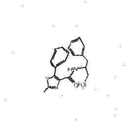 Cc1nc(C(=O)NC(CN)Cc2ccccc2)c(-c2ccccc2)s1